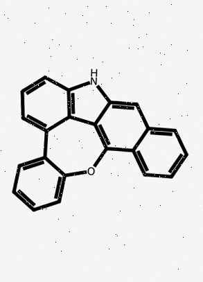 c1ccc2c(c1)cc1[nH]c3cccc4c5ccccc5oc2c1c34